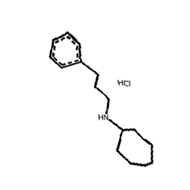 Cl.c1ccc(CCCNC2CCCCC2)cc1